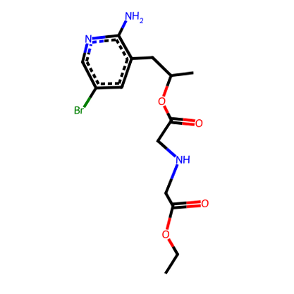 CCOC(=O)CNCC(=O)OC(C)Cc1cc(Br)cnc1N